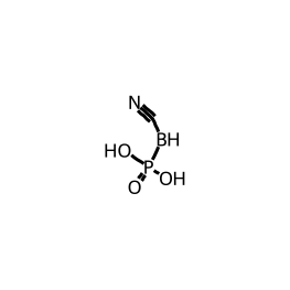 N#CBP(=O)(O)O